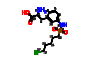 N[C@@H](Cc1cccc(NS(=O)(=O)CCCCCBr)c1)C(=O)O